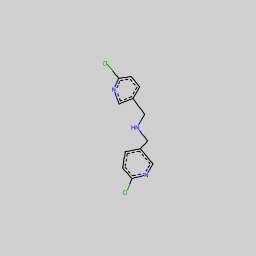 Clc1ccc(CNCc2ccc(Cl)nc2)cn1